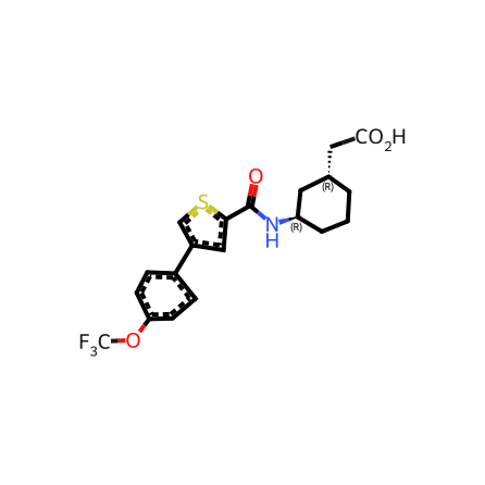 O=C(O)C[C@@H]1CCC[C@@H](NC(=O)c2cc(-c3ccc(OC(F)(F)F)cc3)cs2)C1